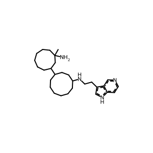 CC1(N)CCCCCCC(C2CCCCCCC(NCCc3c[nH]c4ccncc34)CC2)C1